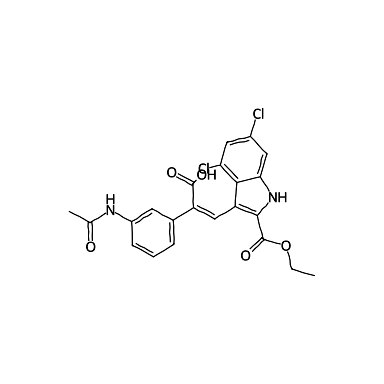 CCOC(=O)c1[nH]c2cc(Cl)cc(Cl)c2c1C=C(C(=O)O)c1cccc(NC(C)=O)c1